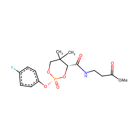 COC(=O)CCNC(=O)[C@@H]1O[P@](=O)(Oc2ccc(F)cc2)OCC1(C)C